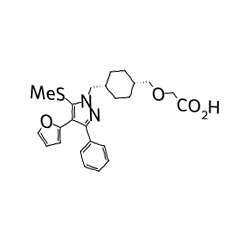 CSc1c(-c2ccco2)c(-c2ccccc2)nn1C[C@H]1CC[C@@H](COCC(=O)O)CC1